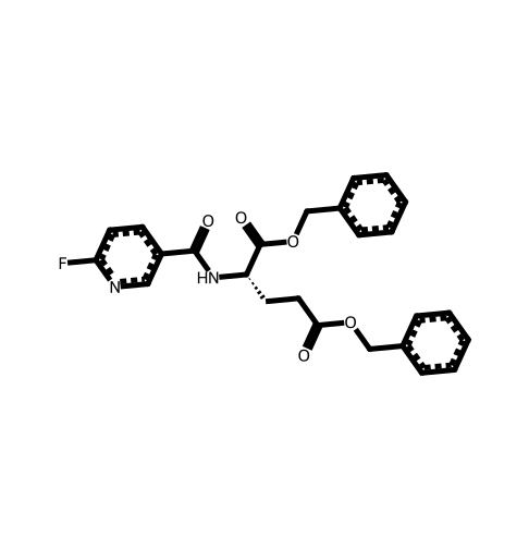 O=C(CC[C@H](NC(=O)c1ccc(F)nc1)C(=O)OCc1ccccc1)OCc1ccccc1